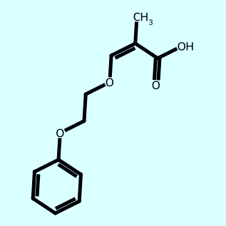 CC(=COCCOc1ccccc1)C(=O)O